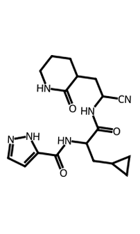 N#CC(CC1CCCNC1=O)NC(=O)C(CC1CC1)NC(=O)c1ccn[nH]1